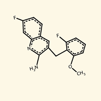 COc1cccc(F)c1Cc1cc2ccc(F)cc2nc1N